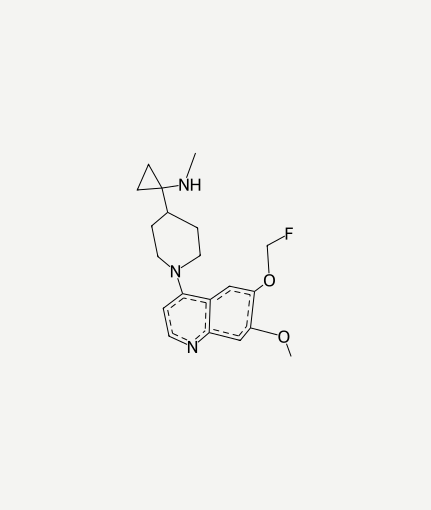 CNC1(C2CCN(c3ccnc4cc(OC)c(OCF)cc34)CC2)CC1